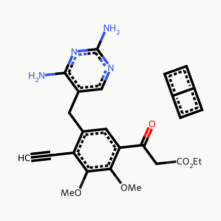 C#Cc1c(Cc2cnc(N)nc2N)cc(C(=O)CC(=O)OCC)c(OC)c1OC.c1cc2ccc1-2